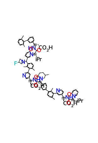 Cc1cccc(C)c1-c1cccc([C@H](CC(=O)O)NC(=O)[C@H](CC(C)C)n2cc(C(c3ccc(C)c(-c4cncc([C@H](CC(=O)O)NC(=O)[C@H](c5ccc(-c6ccc(C)c(-c7cc([C@H](CC(=O)O)NC(=O)[C@H](CC(C)C)n8ccccc8=O)ccn7)c6C)cc5)N5CC(C)CCC5=O)c4)c3C)N3CC(F)C3)ccc2=O)c1